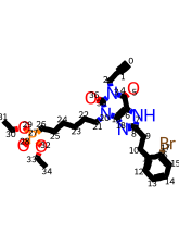 C#CCn1c(=O)c2[nH]c(CCc3ccccc3Br)nc2n(CCCCCCP(=O)(OCC)OCC)c1=O